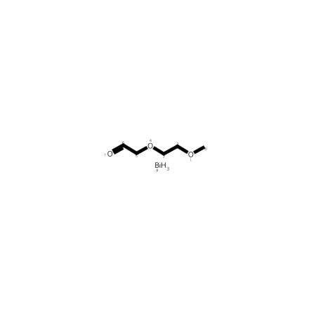 COCCOCC=O.[BiH3]